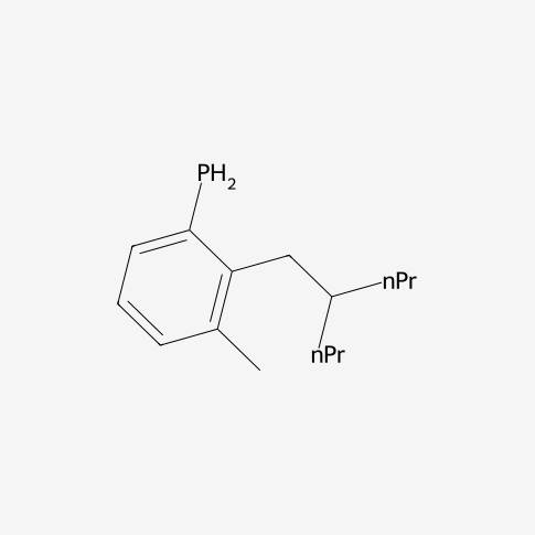 CCCC(CCC)Cc1c(C)cccc1P